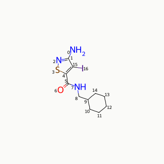 Nc1nsc(C(=O)NCC2CCCCC2)c1I